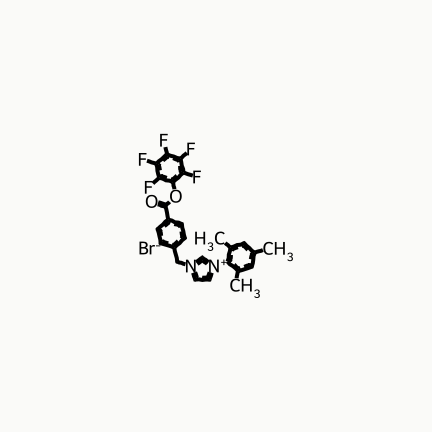 Cc1cc(C)c(-[n+]2ccn(Cc3ccc(C(=O)Oc4c(F)c(F)c(F)c(F)c4F)cc3)c2)c(C)c1.[Br-]